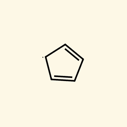 [CH]1C=CC=C1